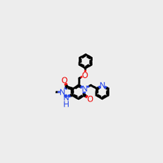 Cn1[nH]c2cc(=O)n(Cc3ccccn3)c(COc3ccccc3)c2c1=O